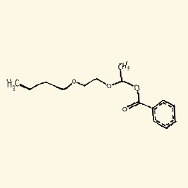 CCCCOCCOC(C)OC(=O)c1ccccc1